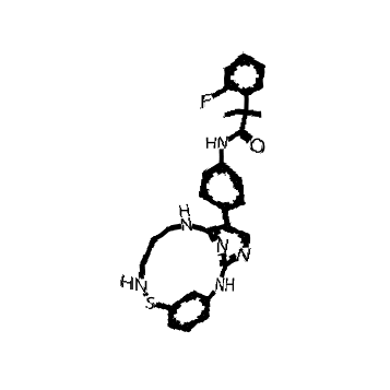 CC(C)(C(=O)Nc1ccc(-c2cnc3nc2NCCCNSc2cccc(c2)N3)cc1)c1ccccc1F